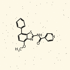 COc1ccc(-c2ccccc2)c2sc(NC(=O)c3ccncc3)nc12